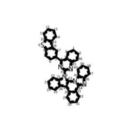 c1ccc2c(-c3ccc4sc5ccccc5c4c3)nc(-n3c4ccccc4c4c5ccccc5c5nc6ccccc6n5c43)nc2c1